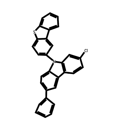 Clc1ccc2c3cc(-c4ccccc4)ccc3n(-c3ccc4sc5ccccc5c4c3)c2c1